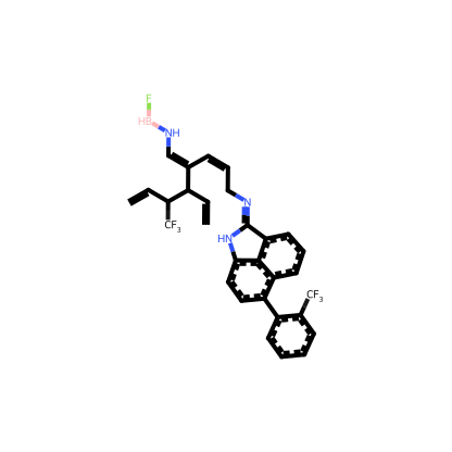 C=CC(C(/C=C\C/N=C1\Nc2ccc(-c3ccccc3C(F)(F)F)c3cccc1c23)=C/NBF)C(C=C)C(F)(F)F